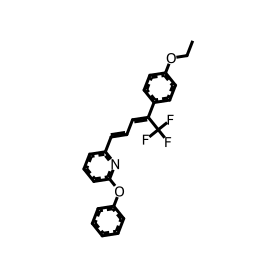 CCOc1ccc(C(=CC=Cc2cccc(Oc3ccccc3)n2)C(F)(F)F)cc1